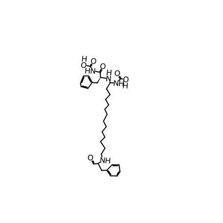 O=CC(Cc1ccccc1)NCCCCCCCCCCCCCC(NC(=O)O)N[C@@H](Cc1ccccc1)C(=O)NC(=O)O